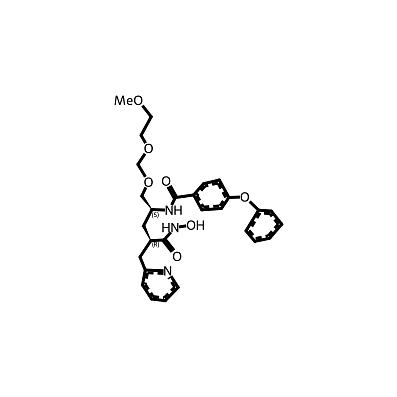 COCCOCOC[C@H](C[C@H](Cc1ccccn1)C(=O)NO)NC(=O)c1ccc(Oc2ccccc2)cc1